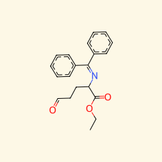 CCOC(=O)C(CCC=O)N=C(c1ccccc1)c1ccccc1